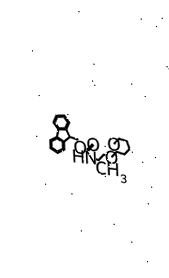 CC(COC1CCCCO1)NC(=O)OCC1c2ccccc2-c2ccccc21